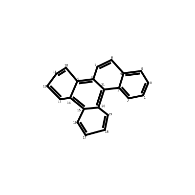 [c]1ccc2c(c1)ccc1c3ccccc3c3ccccc3c21